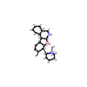 Cc1ccc2c(oc3ncc4ccccc4c32)c1-c1cccc[n+]1C